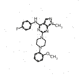 COc1ccccc1N1CCN(c2nc(Nc3ccc(F)cc3)c3cnn(C)c3n2)CC1